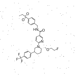 CCS(=O)(=O)c1ccc(CNC(=O)c2ccc(N3CC(c4ccc(C(F)(F)F)cc4)CC[C@H]3COCCF)nc2)cc1